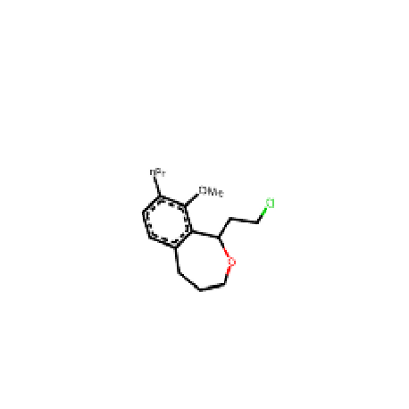 CCCc1ccc2c(c1OC)C(CCCl)OCCC2